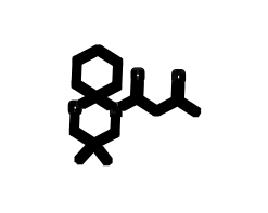 CC(=O)CC(=O)N1CC(C)(C)COC12CCCCC2